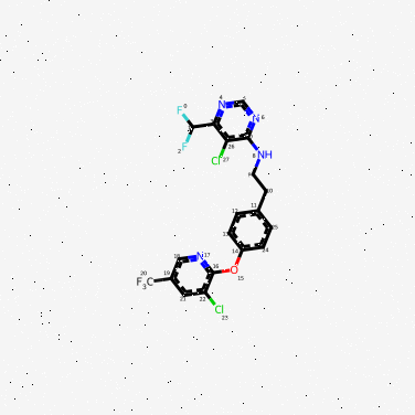 FC(F)c1ncnc(NCCc2ccc(Oc3ncc(C(F)(F)F)cc3Cl)cc2)c1Cl